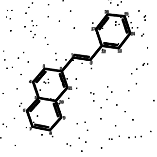 C(=Cc1ccc2ccccc2c1)c1ccccc1